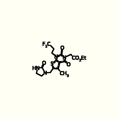 CCOC(=O)Cn1c(=O)c2c(C)c(CN3CCNC3=O)sc2n(CCC(F)(F)F)c1=O